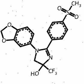 CS(=O)(=O)c1ccc(C2=NC(O)(C(F)(F)F)CN2c2ccc3c(c2)OCO3)cc1